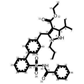 CCCN1NC(C(C)C)C(C(=O)OCC)=C1Cc1ccc(-c2ccccc2S(=O)(=O)NC(=O)c2ccccc2)cc1